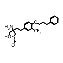 NC(CO)(CCc1ccc(OCCCc2ccccc2)c(C(F)(F)F)c1)COP=O